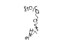 CCOC(=O)OCCOCSSC(C)(C)CNC(C)C